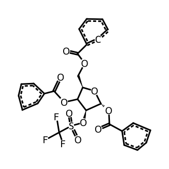 O=C(OC[C@H]1O[C@H](OC(=O)c2ccccc2)[C@@H](OS(=O)(=O)C(F)(F)F)C1OC(=O)c1ccccc1)c1ccccc1